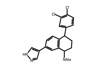 CNC1CCC(c2ccc(Cl)c(Cl)c2)c2ccc(-c3cn[nH]c3)cc21